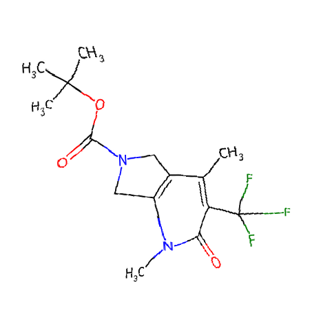 Cc1c2c(n(C)c(=O)c1C(F)(F)F)CN(C(=O)OC(C)(C)C)C2